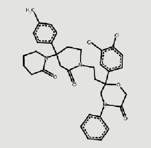 Cc1ccc(C2(N3CCCCC3=O)CCN(CCC3(c4ccc(Cl)c(Cl)c4)CN(c4ccccc4)C(=O)CO3)C(=O)C2)cc1